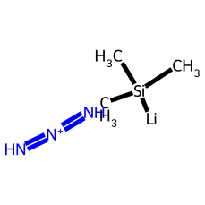 N=[N+]=N.[Li][Si](C)(C)C